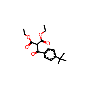 CCOC(=O)C(C(=O)OCC)C(=O)c1ccc(C(C)(C)C)cc1